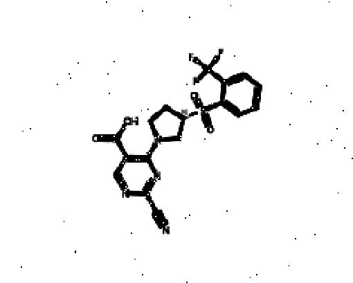 N#Cc1ncc(C(=O)O)c(N2CC[C@H](S(=O)(=O)c3ccccc3C(F)(F)F)C2)n1